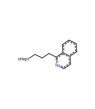 CCCCCCCCCCc1nccc2ccccc12